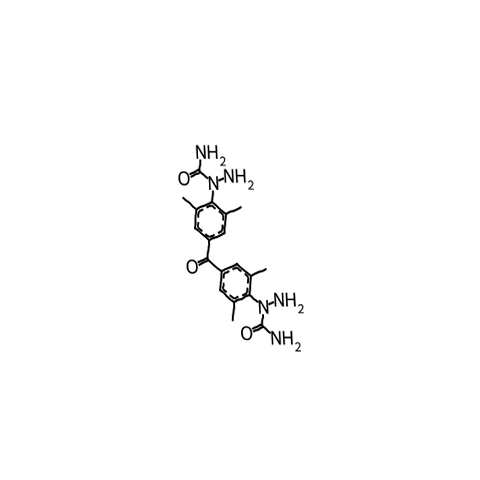 Cc1cc(C(=O)c2cc(C)c(N(N)C(N)=O)c(C)c2)cc(C)c1N(N)C(N)=O